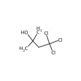 [CH2]C(C)(O)CC(Cl)(Cl)Cl